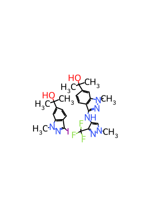 Cn1cc(Nc2nn(C)c3cc(C(C)(C)O)ccc23)c(C(F)(F)F)n1.Cn1nc(I)c2ccc(C(C)(C)O)cc21